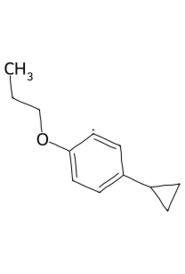 CCCOc1[c]cc(C2CC2)cc1